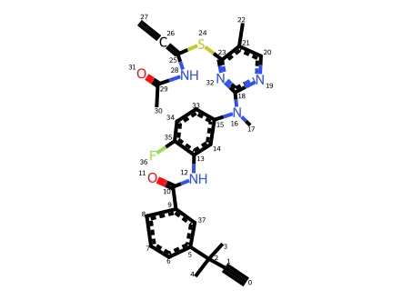 C#CC(C)(C)c1cccc(C(=O)Nc2cc(N(C)c3ncc(C)c(SC(=C=C)NC(C)=O)n3)ccc2F)c1